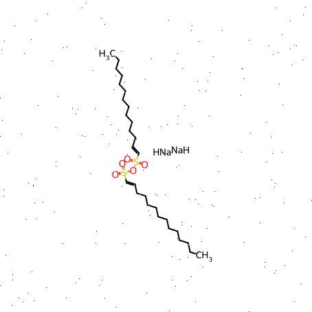 CCCCCCCCCCCCC=CS(=O)(=O)OS(=O)(=O)C=CCCCCCCCCCCCC.[NaH].[NaH]